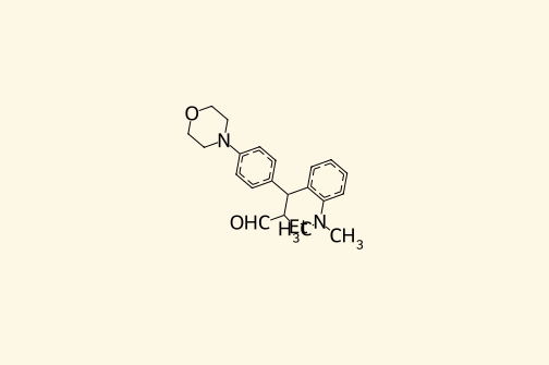 CCC(C=O)C(c1ccc(N2CCOCC2)cc1)c1ccccc1N(C)C